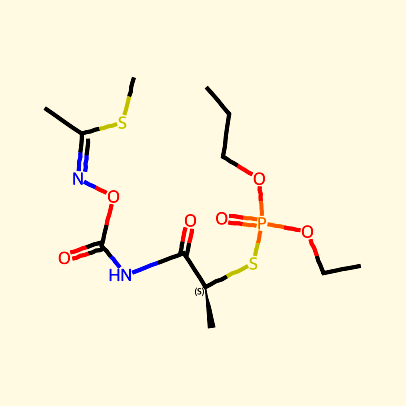 CCCOP(=O)(OCC)S[C@@H](C)C(=O)NC(=O)ON=C(C)SC